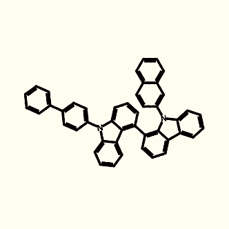 c1ccc(-c2ccc(-n3c4ccccc4c4c(-c5cccc6c7ccccc7n(-c7ccc8ccccc8c7)c56)cccc43)cc2)cc1